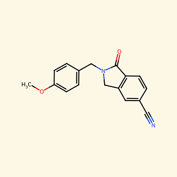 COc1ccc(CN2Cc3cc(C#N)ccc3C2=O)cc1